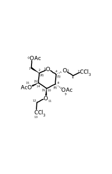 CC(=O)OC[C@H]1O[C@H](OCC(Cl)(Cl)Cl)[C@H](OC(C)=O)[C@@H](OCC(Cl)(Cl)Cl)[C@H]1OC(C)=O